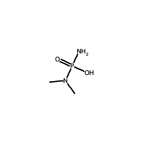 CN(C)P(N)(=O)O